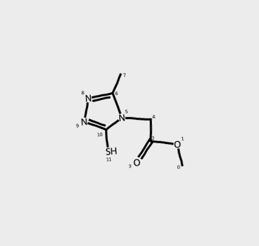 COC(=O)Cn1c(C)nnc1S